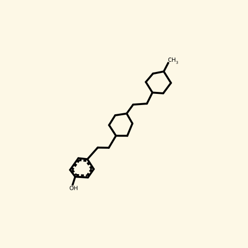 CC1CCC(CCC2CCC(CCc3ccc(O)cc3)CC2)CC1